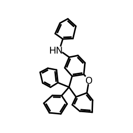 c1ccc(Nc2ccc3c(c2)C(c2ccccc2)(c2ccccc2)c2ccccc2O3)cc1